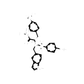 O=C(NO)[C@@H](Cc1ccc([N+](=O)[O-])cc1)N(Cc1ccc2[nH]ccc2c1)S(=O)(=O)c1ccc(O)cc1